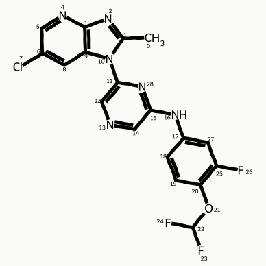 Cc1nc2ncc(Cl)cc2n1-c1cncc(Nc2ccc(OC(F)F)c(F)c2)n1